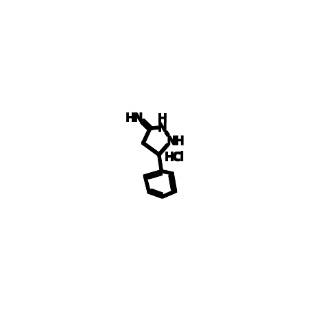 Cl.N=C1CC(c2ccccc2)NN1